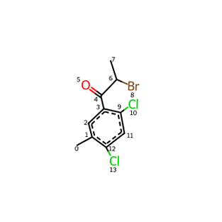 Cc1cc(C(=O)C(C)Br)c(Cl)cc1Cl